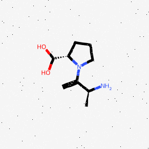 C=C([C@H](C)N)N1CCC[C@H]1C(O)O